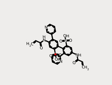 C=CC(=O)Nc1cc(-c2ccccn2)c(-c2cc(-c3cccnc3)c(NC(=O)C=C)cc2S(=O)(=O)O)c(S(=O)(=O)O)c1